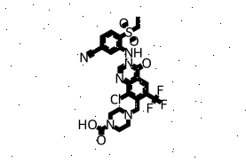 CCS(=O)(=O)c1ccc(C#N)cc1Nn1cnc2c(Cl)c(CN3CCN(C(=O)O)CC3)c(C(F)(F)F)cc2c1=O